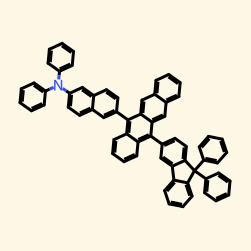 c1ccc(N(c2ccccc2)c2ccc3cc(-c4c5ccccc5c(-c5ccc6c(c5)-c5ccccc5C6(c5ccccc5)c5ccccc5)c5cc6ccccc6cc45)ccc3c2)cc1